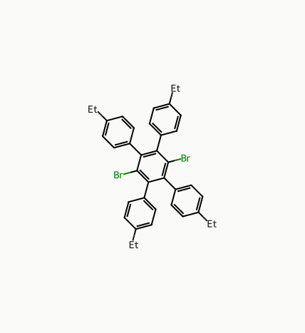 CCc1ccc(-c2c(Br)c(-c3ccc(CC)cc3)c(-c3ccc(CC)cc3)c(Br)c2-c2ccc(CC)cc2)cc1